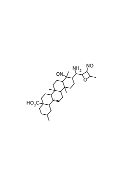 CC1CCC2(C(=O)O)CCC3C(=CCC4C3(C)CCC3C4(C)CCC(C(N)C4OC(C)C4N=O)C3(C)N=O)C2C1